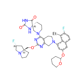 CCc1c(F)ccc2cc(OC3CCCCO3)cc(N3CCc4c(nc(OC[C@@]56CCCN5C[C@H](F)C6)nc4N4CCC[C@]5(C4)NC(=O)NC5=O)C3)c12